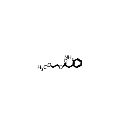 COCCOC(=O)Cc1ccccc1.N